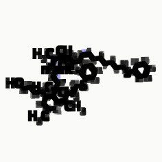 CCCCC[C@H](C/C=C\CCCCCCSc1ccccc1)CC(C)(C)/C(C)=C\C=C\CC(C)(C)C1[C@@H](CCCCO)C[C@@H](C)C[C@H]1[C@H](C)CCCSc1ccccc1